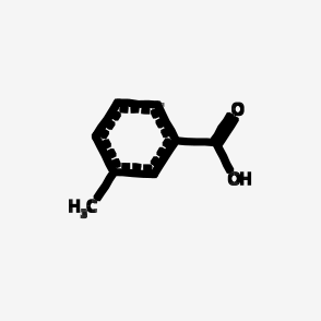 Cc1cc[c]c(C(=O)O)c1